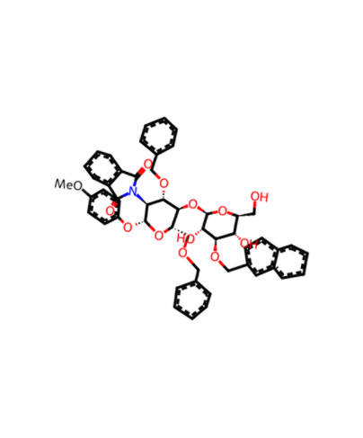 COc1ccc(O[C@H]2O[C@@H](COCc3ccccc3)[C@H](O[C@H]3O[C@@H](CO)[C@H](O)[C@@H](OCc4ccc5ccccc5c4)[C@@H]3O)[C@@H](OCc3ccccc3)[C@@H]2N2C(=O)c3ccccc3C2=O)cc1